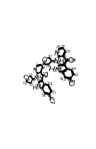 O=C(c1cccnc1NC1CCOC1)c1c[nH]c2cc(Cl)ccc12.O=C(c1cccnc1NC1CCOC1)c1c[nH]c2cc(Cl)ccc12